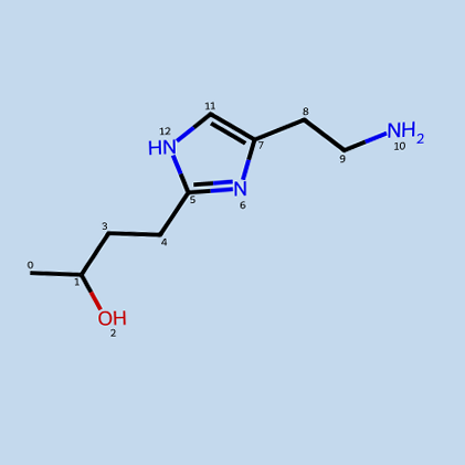 CC(O)CCc1nc(CCN)c[nH]1